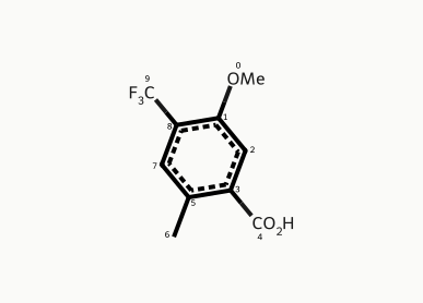 COc1cc(C(=O)O)c(C)cc1C(F)(F)F